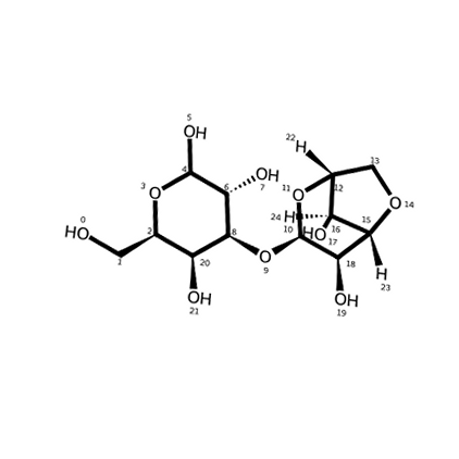 OC[C@H]1OC(O)[C@H](O)[C@@H](O[C@H]2O[C@@H]3CO[C@@H]([C@H]3O)[C@H]2O)[C@H]1O